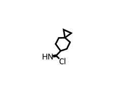 N=C(Cl)C1CCC2(CC1)CC2